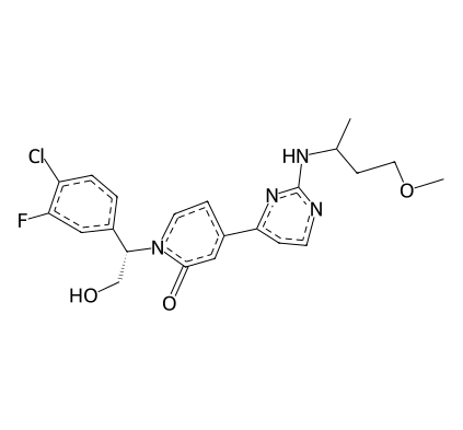 COCCC(C)Nc1nccc(-c2ccn([C@H](CO)c3ccc(Cl)c(F)c3)c(=O)c2)n1